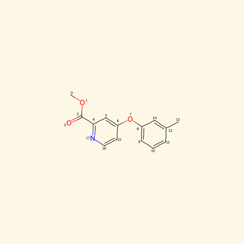 COC(=O)c1cc(Oc2cccc(C)c2)ccn1